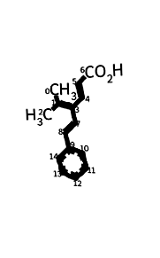 CC(C)=C(C=CC(=O)O)C=Cc1ccccc1